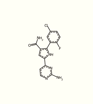 NC(=O)c1cc(-c2ccnc(N)n2)[nH]c1-c1cc(Cl)ccc1F